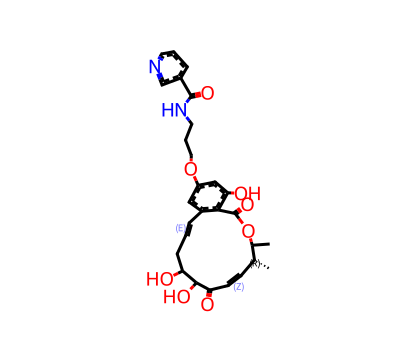 CC1OC(=O)c2c(O)cc(OCCCNC(=O)c3cccnc3)cc2/C=C/CC(O)C(O)C(=O)/C=C\[C@H]1C